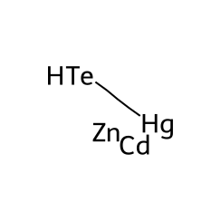 [Cd].[TeH][Hg].[Zn]